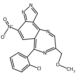 COCc1cnc2c(cc([N+](=O)[O-])c3nncc32)c(-c2ccccc2Cl)n1